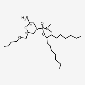 B[C@H]1CN(P(=O)(OC(CCCCCCC)CCCCCCC)N(C)C)C[C@@H](COCCCC)O1